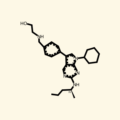 CCC[C@H](C)Nc1ncc2c(-c3ccc(CNCCO)cc3)cn(C3CCCCC3)c2n1